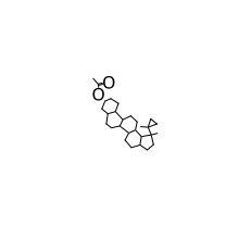 CC(=O)OC1CCC2C(CCC3C2CCC2C3CCC3CCC(C)(C4(C)CC4)C32)C1